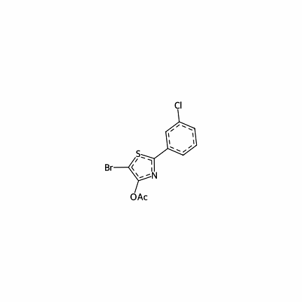 CC(=O)Oc1nc(-c2cccc(Cl)c2)sc1Br